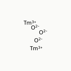 [O-2].[O-2].[O-2].[Tm+3].[Tm+3]